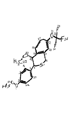 COc1ccc(C2SCc3cc(OC(F)(F)F)ccc3C2OC)cc1